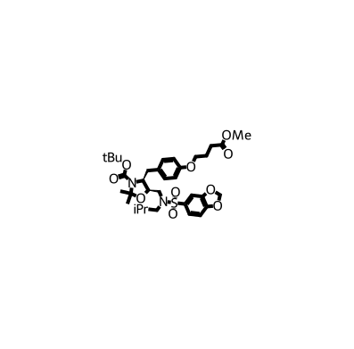 COC(=O)CCCOc1ccc(C[C@H]2[C@@H](CN(CC(C)C)S(=O)(=O)c3ccc4c(c3)OCO4)OC(C)(C)N2C(=O)OC(C)(C)C)cc1